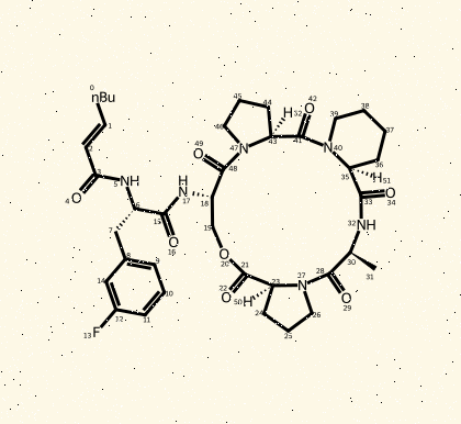 CCCC/C=C/C(=O)N[C@@H](Cc1cccc(F)c1)C(=O)N[C@H]1COC(=O)[C@@H]2CCCN2C(=O)[C@H](C)NC(=O)[C@@H]2CCCCN2C(=O)[C@@H]2CCCN2C1=O